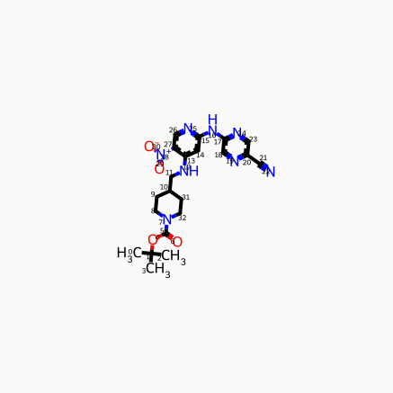 CC(C)(C)OC(=O)N1CCC(CNc2cc(Nc3cnc(C#N)cn3)ncc2[N+](=O)[O-])CC1